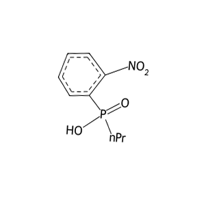 CCCP(=O)(O)c1ccccc1[N+](=O)[O-]